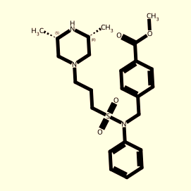 COC(=O)c1ccc(CN(c2ccccc2)S(=O)(=O)CCCN2C[C@@H](C)N[C@@H](C)C2)cc1